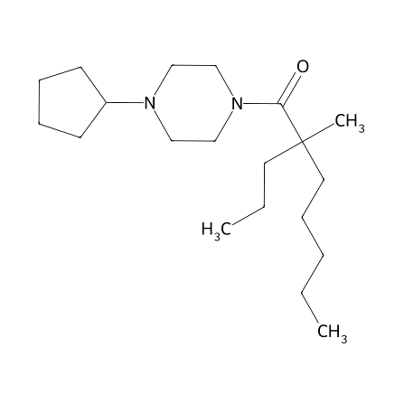 CCCCCC(C)(CCC)C(=O)N1CCN(C2CCCC2)CC1